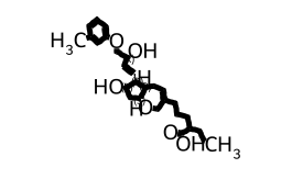 CCCC(CCCC1=CC[C@@H]2[C@@H](C=C[C@@H](O)COc3cccc(C)c3)[C@H](O)C[C@@H]2OC1)C(=O)O